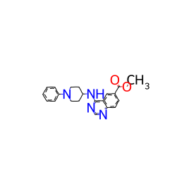 COC(=O)c1ccc2ncnc(NC3CCN(c4ccccc4)CC3)c2c1